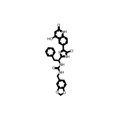 O=C(NCc1ccc2c(c1)OCO2)NC(Cc1ccccc1)c1nc(-c2ccc3[nH]c(=O)cc(O)c3c2)c(Cl)[nH]1